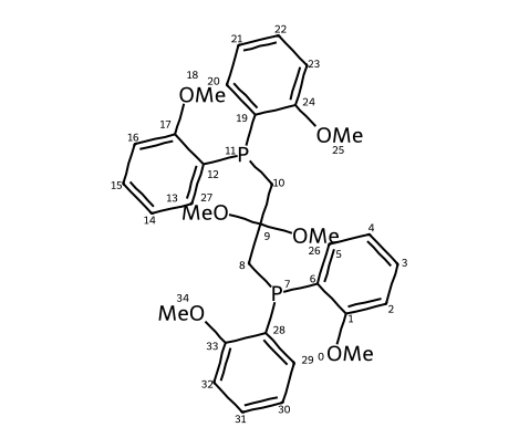 COc1ccccc1P(CC(CP(c1ccccc1OC)c1ccccc1OC)(OC)OC)c1ccccc1OC